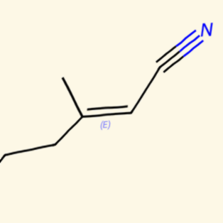 CCC/C(C)=C/C#N